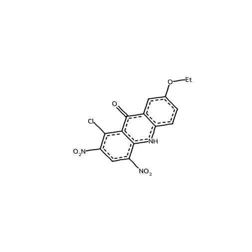 CCOc1ccc2[nH]c3c([N+](=O)[O-])cc([N+](=O)[O-])c(Cl)c3c(=O)c2c1